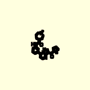 CN1CCCN(C(=O)Nc2cccc(-c3ccnc4c(C(=O)c5cccs5)cnn34)c2)CC1